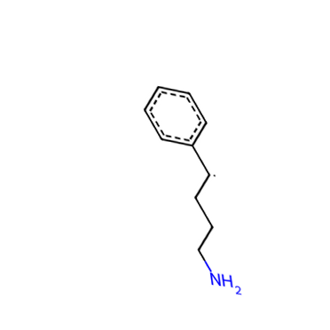 NCCC[CH]c1ccccc1